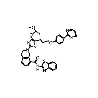 O=C(O)Oc1nc(N2CCc3cccc(C(=O)Nc4nc5ccccc5s4)c3C2)sc1CCCOc1ccc(-c2ncccn2)cc1